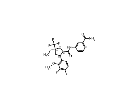 CC[C@@]1(C(F)(F)F)C[C@H](c2ccc(F)c(F)c2OC)[C@H](C(=O)Nc2ccnc(C(N)=O)c2)O1